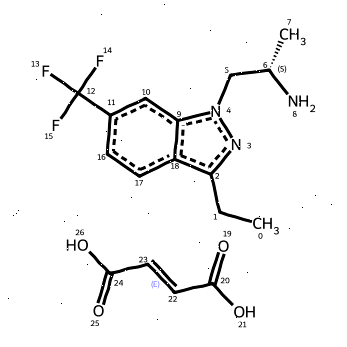 CCc1nn(C[C@H](C)N)c2cc(C(F)(F)F)ccc12.O=C(O)/C=C/C(=O)O